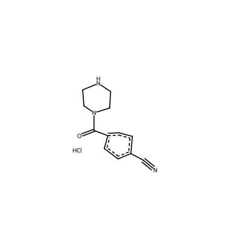 Cl.N#Cc1ccc(C(=O)N2CCNCC2)cc1